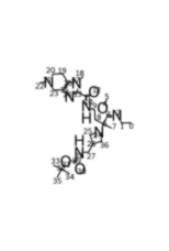 CC/N=C(/OC)C(C)(CCNC(=O)c1nc2c(n1C)CCN(C)C2)N1CC(CNC(=O)OC(C)(C)C)C1